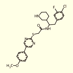 COc1ccc(-c2cnc(SCC(=O)NC(Cc3ccc(Cl)c(F)c3)C3CCCNC3)nc2)cc1